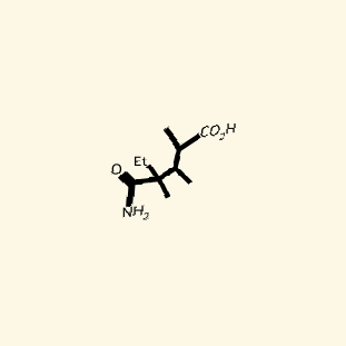 CCC(C)(C(N)=O)C(C)C(C)C(=O)O